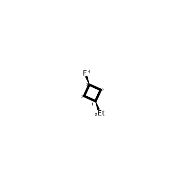 CC[C@H]1C[C@@H](F)C1